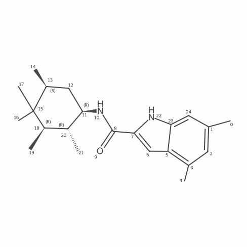 Cc1cc(C)c2cc(C(=O)N[C@@H]3C[C@H](C)C(C)(C)[C@H](C)[C@H]3C)[nH]c2c1